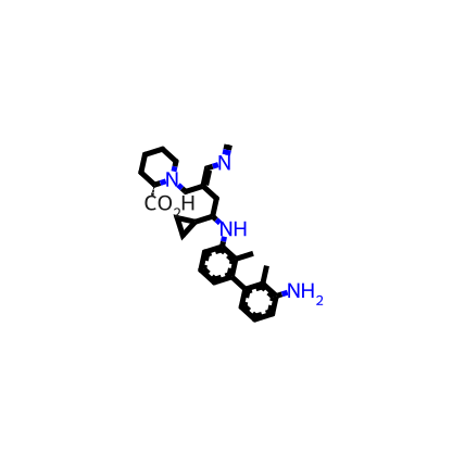 C=N/C=C(\CC(Nc1cccc(-c2cccc(N)c2C)c1C)C1CC1)CN1CCCC[C@H]1C(=O)O